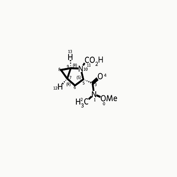 CON(C)C(=O)[C@@H]1C[C@H]2C[C@H]2N1C(=O)O